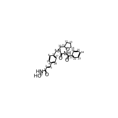 O=C(/C=C/c1ccc(CN(CC2CCCO2)C(=O)NC(=O)c2ccccc2)cc1)NO